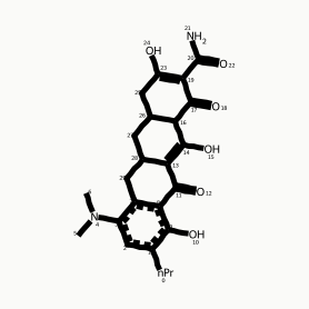 CCCc1cc(N(C)C)c2c(c1O)C(=O)C1=C(O)C3C(=O)C(C(N)=O)=C(O)CC3CC1C2